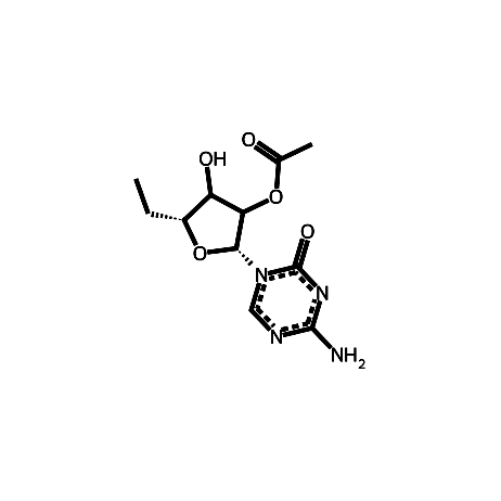 CC[C@H]1O[C@@H](n2cnc(N)nc2=O)C(OC(C)=O)C1O